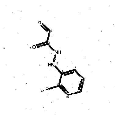 O=CC(=O)NNc1ccccc1F